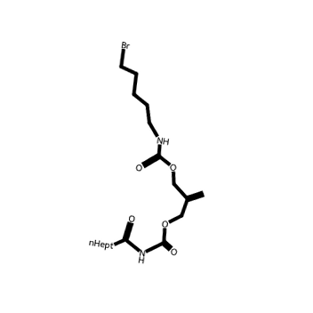 C=C(COC(=O)NCCCCCBr)COC(=O)NC(=O)CCCCCCC